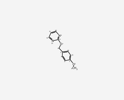 COc1ccc(COc2ncccn2)cc1